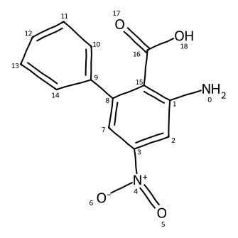 Nc1cc([N+](=O)[O-])cc(-c2ccccc2)c1C(=O)O